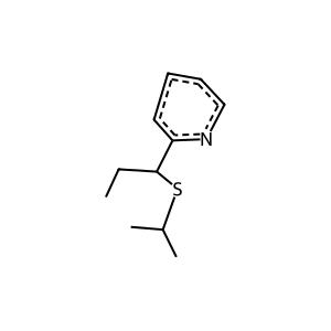 CCC(SC(C)C)c1ccccn1